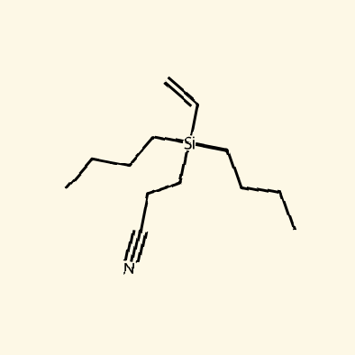 C=C[Si](CCC#N)(CCCC)CCCC